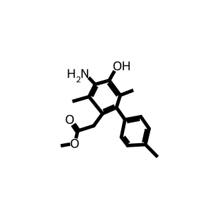 COC(=O)Cc1c(C)c(N)c(O)c(C)c1-c1ccc(C)cc1